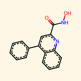 O=C(NO)c1cc(-c2ccccc2)c2ccccc2n1